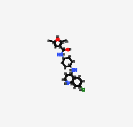 Cc1cc(C(=O)N[C@H]2CC[C@@H](Nc3ccnc4cc(Cl)ccc34)CC2)c(C)o1